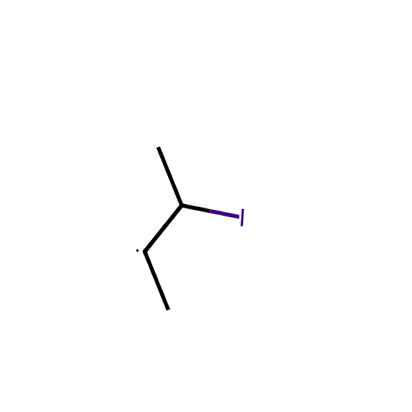 C[CH]C(C)I